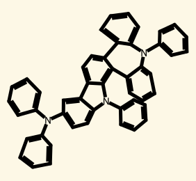 c1ccc(N(c2ccccc2)c2ccc3c(c2)c2ccc4c(c2n3-c2ccccc2)-c2ccccc2N(c2ccccc2)c2ccccc2-4)cc1